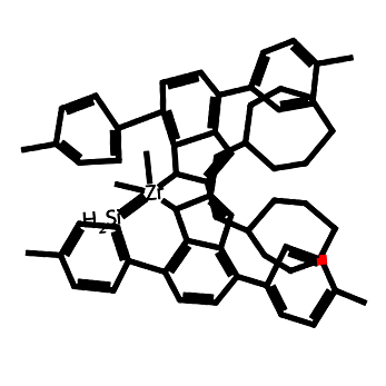 Cc1ccc(-c2ccc(-c3ccc(C)cc3)c3c2C=C(CC2CCCCCC2)[CH]3[Zr]([CH3])([CH3])(=[SiH2])[CH]2C(CC3CCCCCC3)=Cc3c(-c4ccc(C)cc4)ccc(-c4ccc(C)cc4)c32)cc1